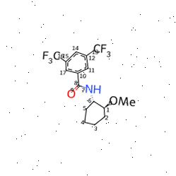 CO[C@H]1CCCC[C@@H]1NC(=O)c1cc(C(F)(F)F)cc(C(F)(F)F)c1